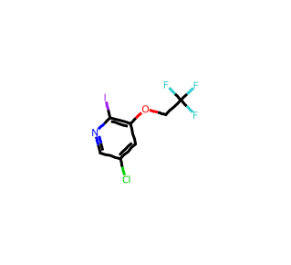 FC(F)(F)COc1cc(Cl)cnc1I